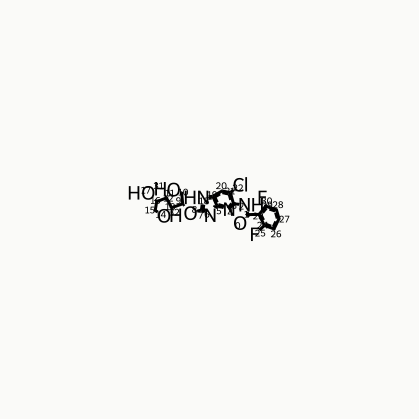 O=C(Nc1nc2nc(O[C@@H]3CO[C@H]4[C@@H]3OC[C@H]4O)[nH]c2cc1Cl)c1c(F)cccc1F